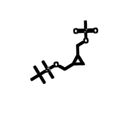 CC(C)(C)[Si](C)(C)OCC1CC1COS(C)(=O)=O